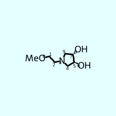 COCCN1C[C@H](O)[C@@H](O)C1